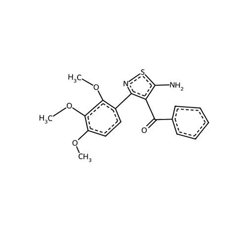 COc1ccc(-c2nsc(N)c2C(=O)c2ccccc2)c(OC)c1OC